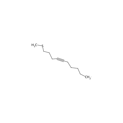 [CH2]CCCCC#CCCCSC